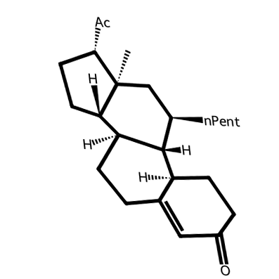 CCCCC[C@@H]1C[C@]2(C)[C@@H](C(C)=O)CC[C@H]2[C@@H]2CCC3=CC(=O)CC[C@@H]3[C@@H]12